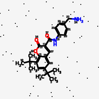 CC(C)(C)c1cc(C(C)(C)C)c2oc(=O)c(C(=O)Nc3ccc(CN)cc3)cc2c1